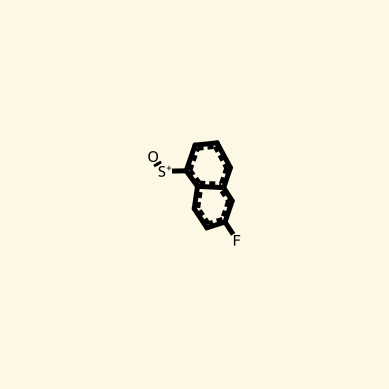 O=[S+]c1cccc2cc(F)ccc12